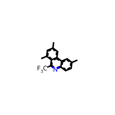 Cc1ccc2nc(C(F)(F)F)c3c(C)cc(C)cc3c2c1